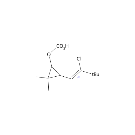 CC(C)(C)/C(Cl)=C/C1C(OC(=O)O)C1(C)C